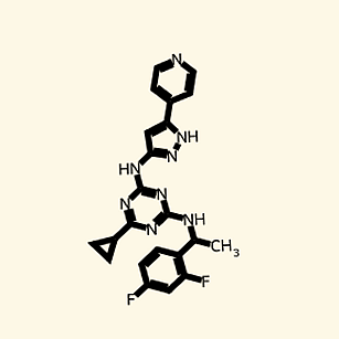 CC(Nc1nc(Nc2cc(-c3ccncc3)[nH]n2)nc(C2CC2)n1)c1ccc(F)cc1F